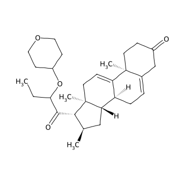 CCC(OC1CCOCC1)C(=O)[C@H]1[C@H](C)C[C@H]2[C@@H]3CC=C4CC(=O)CC[C@]4(C)C3=CC[C@@]21C